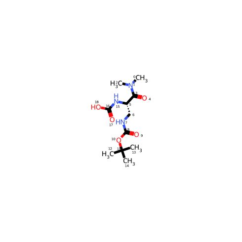 CN(C)C(=O)[C@H](CNC(=O)OC(C)(C)C)NC(=O)O